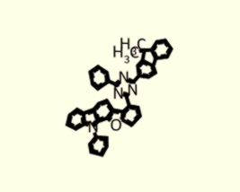 CC1(C)c2ccccc2-c2ccc(-c3nc(-c4ccccc4)nc(-c4cccc5oc6c(ccc7c8ccccc8n(-c8ccccc8)c76)c45)n3)cc21